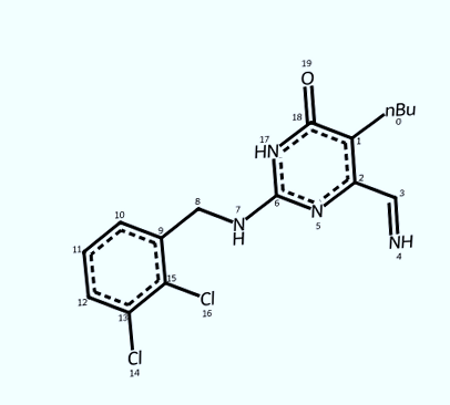 CCCCc1c(C=N)nc(NCc2cccc(Cl)c2Cl)[nH]c1=O